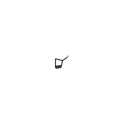 FC1C#CC1